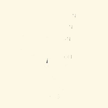 [N-]=[N+]=NC[C@H](O)[C@@H](Oc1cccc2sccc12)c1ccccc1